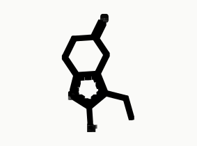 CCc1c(Br)sc2c1CC(=O)CC2